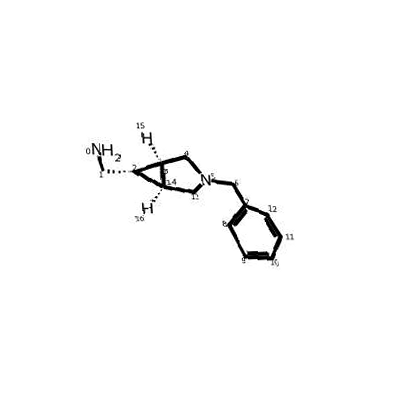 NC[C@@H]1[C@H]2CN(Cc3ccccc3)C[C@@H]12